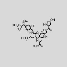 CC(C)C[C@H](NC(=O)CNC(=O)[C@H](CCC(=O)O)NC(=O)[C@H](CCC(N)=O)NC(=O)CNC(=O)[C@@H]1C[C@@H](O)CN1)C(=O)N[C@@H](C)C(=O)O